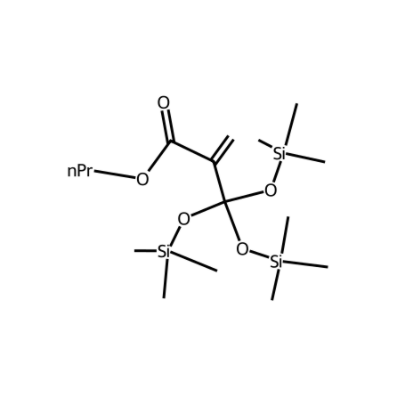 C=C(C(=O)OCCC)C(O[Si](C)(C)C)(O[Si](C)(C)C)O[Si](C)(C)C